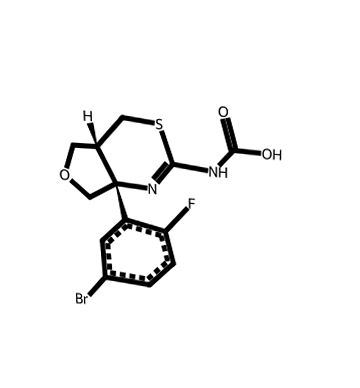 O=C(O)NC1=N[C@]2(c3cc(Br)ccc3F)COC[C@@H]2CS1